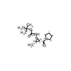 C[C@H]1[C@@H](C(=O)N2CCCC2)N1NC(=O)OC(C)(C)C